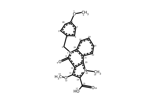 COc1ccc(Cn2c(=O)c3c(OC)c(C(=O)O)n(C)c3c3ccccc32)cc1